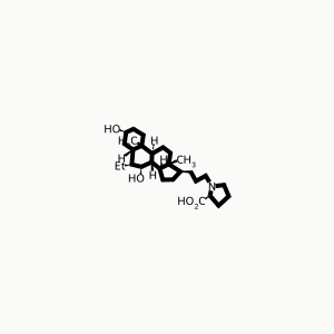 CC[C@H]1[C@@H](O)[C@@H]2[C@H](CC[C@]3(C)[C@@H](CCCN4CCC[C@@H]4C(=O)O)CC[C@@H]23)[C@@]2(C)CC[C@@H](O)C[C@@H]12